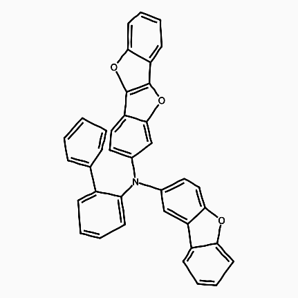 c1ccc(-c2ccccc2N(c2ccc3c(c2)oc2c4ccccc4oc32)c2ccc3oc4ccccc4c3c2)cc1